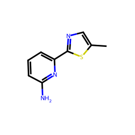 Cc1cnc(-c2cccc(N)n2)s1